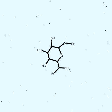 CC(C)SC1OC(C(N)C(C)C)C(O)C(O)C1O